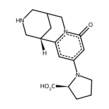 O=C(O)[C@@H]1CCCN1c1cc2n(c(=O)c1)CC1CNC[C@@H]2C1